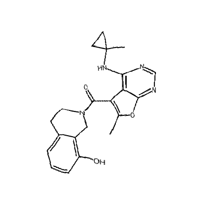 Cc1oc2ncnc(NC3(C)CC3)c2c1C(=O)N1CCc2cccc(O)c2C1